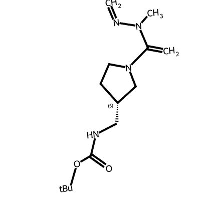 C=NN(C)C(=C)N1CC[C@@H](CNC(=O)OC(C)(C)C)C1